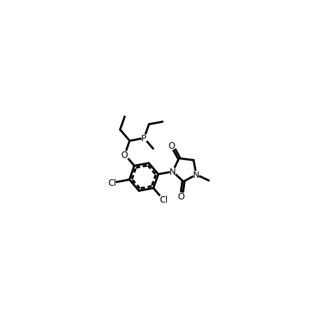 CCC(Oc1cc(N2C(=O)CN(C)C2=O)c(Cl)cc1Cl)P(C)CC